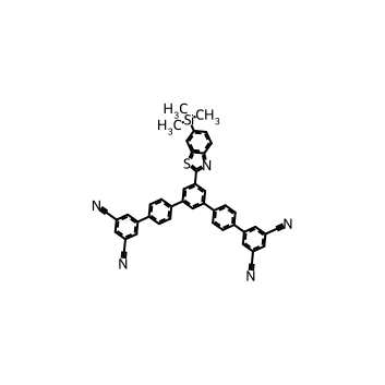 C[Si](C)(C)c1ccc2nc(-c3cc(-c4ccc(-c5cc(C#N)cc(C#N)c5)cc4)cc(-c4ccc(-c5cc(C#N)cc(C#N)c5)cc4)c3)sc2c1